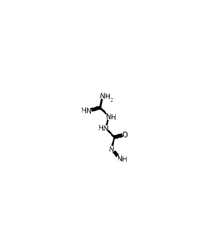 N=NC(=O)NNC(=N)N